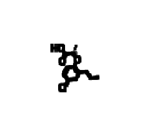 CCCc1cc(Cl)ccc1O[C@@H](C)C(=O)O